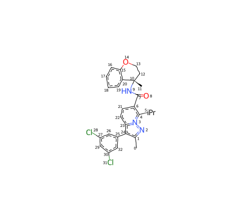 Cc1nn2c(C(C)C)c(C(=O)N[C@@]3(C)CCOc4ccccc43)ccc2c1-c1cc(Cl)cc(Cl)c1